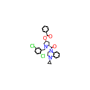 O=C(O[C@H]1C[C@@H](C(=O)N2CCN(C3CC3)c3ccccc32)N(Cc2cc(Cl)ccc2Cl)C1)c1ccccc1